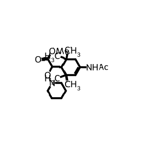 COC(=O)C(ON1CCCCC1)C1C(C)(C)C=C(NC(C)=O)CC1(C)C